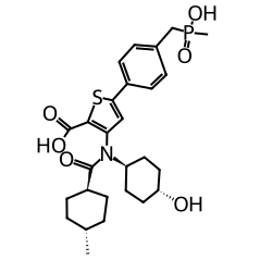 CP(=O)(O)Cc1ccc(-c2cc(N(C(=O)[C@H]3CC[C@H](C)CC3)[C@H]3CC[C@H](O)CC3)c(C(=O)O)s2)cc1